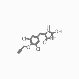 C#CCOc1c(Cl)cc(/C=C2/NC(O)NC2=O)cc1Cl